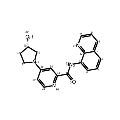 O=C(Nc1cccc2cccnc12)c1cc(N2CC[C@H](O)C2)ccn1